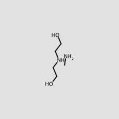 CN.OCCNCCO